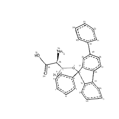 C[C@@H](OC1(c2ccccc2)c2ccccc2-c2ccc(-c3ccccc3)cc21)[C@H](N)C(=O)O